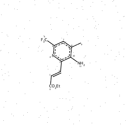 CCOC(=O)C=Cc1nc(C(F)(F)F)cc(C)c1N